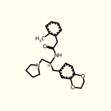 Cc1ccccc1CC(=O)N[C@@H](Cc1ccc2c(c1)OCCO2)CN1CCCC1